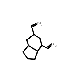 C=CC1CC(C=C)C2CCCC2C1